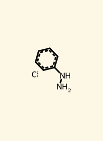 NNc1ccccc1.[C]